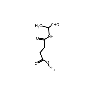 CC(C=O)NC(=O)CCC(=O)OP